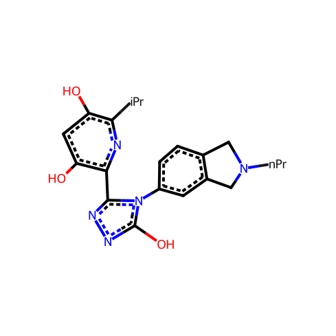 CCCN1Cc2ccc(-n3c(O)nnc3-c3nc(C(C)C)c(O)cc3O)cc2C1